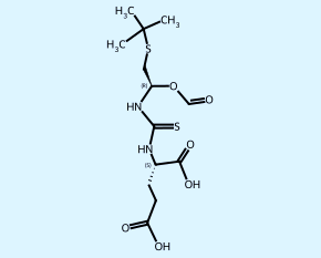 CC(C)(C)SC[C@H](NC(=S)N[C@@H](CCC(=O)O)C(=O)O)OC=O